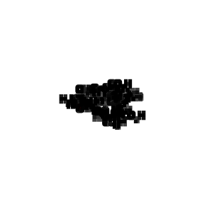 N=C(N)NCCC[C@H](NC(=O)[C@H](CC(=O)O)NC(=O)CC[C@H](NC(=O)c1ccc(NCc2cnc3nc(N)[nH]c(=O)c3n2)cc1)C(=O)O)C(=O)N[C@@H](CC(=O)O)C(=O)N[C@@H](CC(=O)O)C(=O)N[C@@H](CSSCCOC=O)C(=O)O